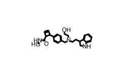 O=C(NO)C1C#CC1c1ccc(CN(CCO)CCC2CNc3ccccc32)cc1